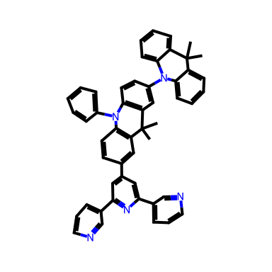 CC1(C)c2ccccc2N(c2ccc3c(c2)C(C)(C)c2cc(-c4cc(-c5cccnc5)nc(-c5cccnc5)c4)ccc2N3c2ccccc2)c2ccccc21